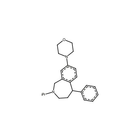 CC(C)N1CCC(c2ccccc2)c2ccc(N3CCOCC3)cc2C1